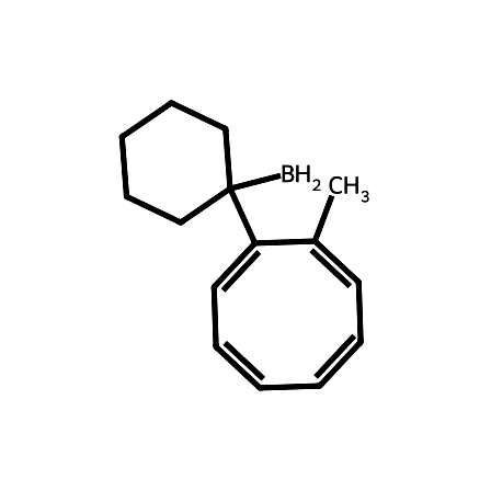 BC1(C2=C/C=C\C=C/C=C\2C)CCCCC1